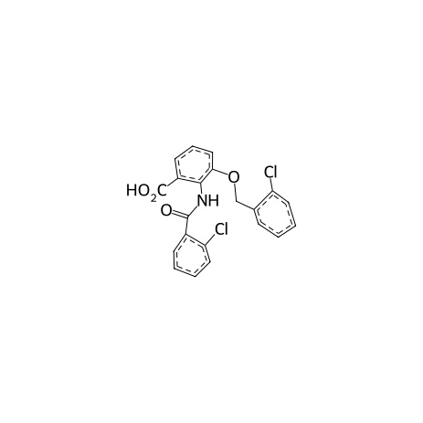 O=C(Nc1c(OCc2ccccc2Cl)cccc1C(=O)O)c1ccccc1Cl